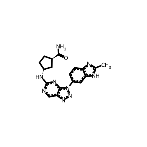 Cc1nc2ccc(-n3nnc4cnc(N[C@@H]5CC[C@@H](C(N)=O)C5)nc43)cc2[nH]1